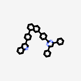 c1ccc(-c2cc(-c3ccccc3)nc(-c3ccc(-c4ccc5cccc(-c6ccc(-c7cnc8ccccc8c7)cc6)c5c4)cc3)n2)cc1